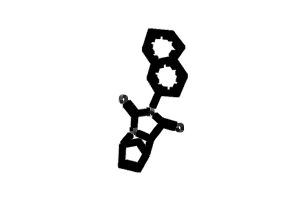 O=C1C2C3C=CC(C3)N2C(=O)N1c1ccc2ccccc2c1